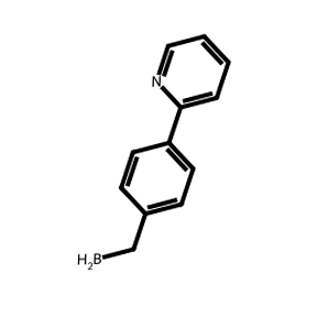 BCc1ccc(-c2ccccn2)cc1